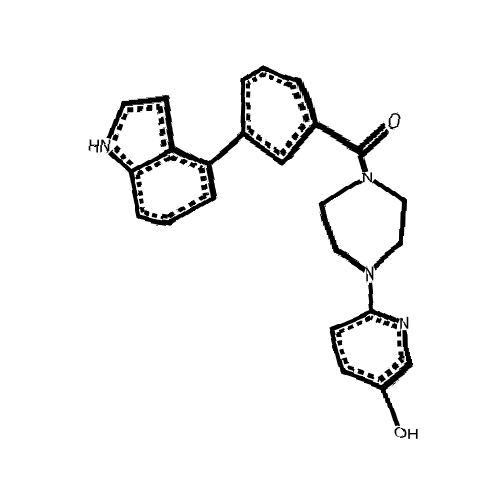 O=C(c1cccc(-c2cccc3[nH]ccc23)c1)N1CCN(c2ccc(O)cn2)CC1